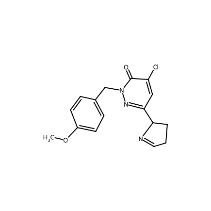 COc1ccc(Cn2nc(C3CCC=N3)cc(Cl)c2=O)cc1